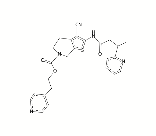 CC(CC(=O)Nc1sc2c(c1C#N)CCN(C(=O)OCCc1ccncc1)C2)c1ccccn1